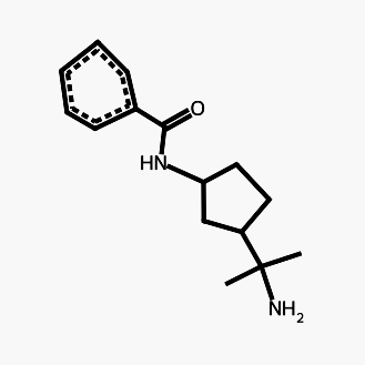 CC(C)(N)C1CCC(NC(=O)c2ccccc2)C1